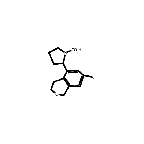 O=C(O)N1CCCC1c1cc(Cl)cc2c1CCOC2